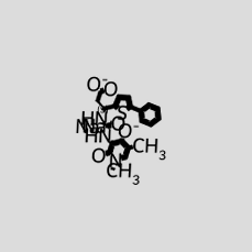 Cc1cn(C)c(=O)c(NC(=O)N[C@@H](CC(=O)[O-])c2ccc(-c3ccccc3)s2)c1[O-].[Na+].[Na+]